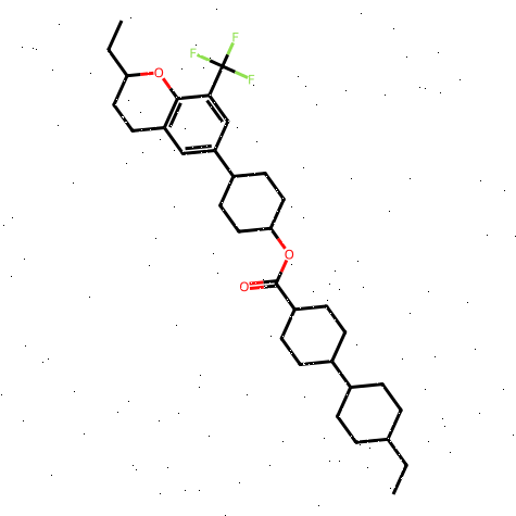 CCC1CCC(C2CCC(C(=O)OC3CCC(c4cc5c(c(C(F)(F)F)c4)OC(CC)CC5)CC3)CC2)CC1